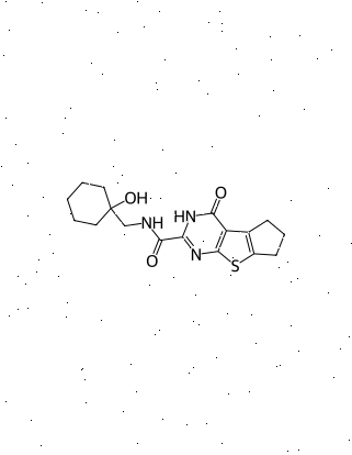 O=C(NCC1(O)CCCCC1)c1nc2sc3c(c2c(=O)[nH]1)CCC3